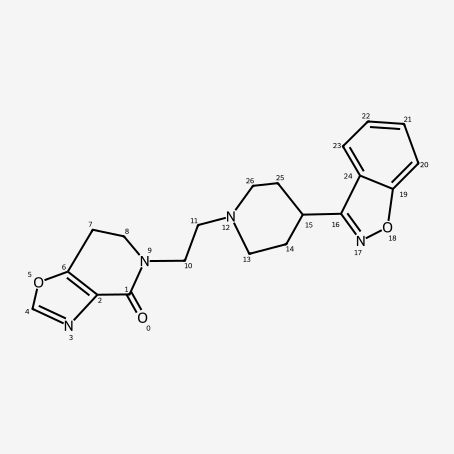 O=C1c2ncoc2CCN1CCN1CCC(c2noc3ccccc23)CC1